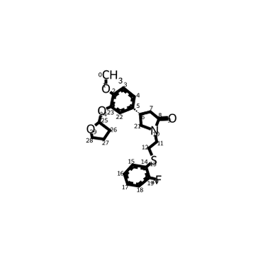 COc1ccc([C@@H]2CC(=O)N(CCSc3ccccc3F)C2)cc1OC1CCCO1